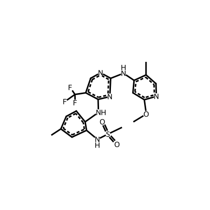 COc1cc(Nc2ncc(C(F)(F)F)c(Nc3ccc(C)cc3NS(C)(=O)=O)n2)c(C)cn1